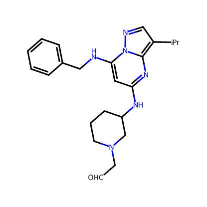 CC(C)c1cnn2c(NCc3ccccc3)cc(NC3CCCN(CC=O)C3)nc12